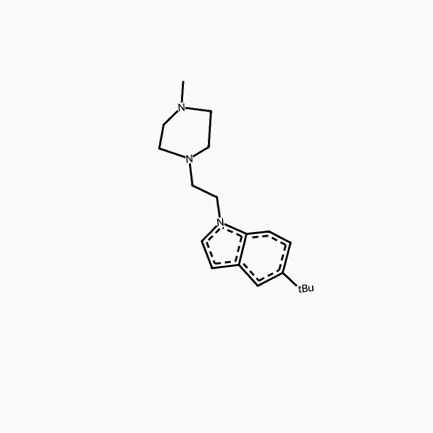 CN1CCN(CCn2ccc3cc(C(C)(C)C)ccc32)CC1